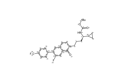 CC(C)(C)OC(=O)N[C@H](CCCn1ccc2cc(-c3ncc(C(F)(F)F)cn3)c(F)cc2c1=O)C1CC1